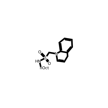 CCCCCCCCNS(=O)(=O)CN1C=CCc2ccccc21